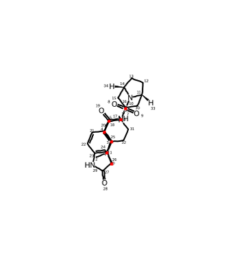 CN(C)C1CCN(S(=O)(=O)N2[C@@H]3CC[C@H]2C[C@@H](NC(=O)c2ccc4c(c2)CC(=O)N4)C3)CC1